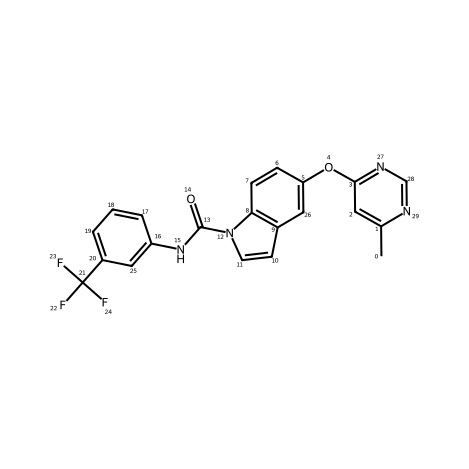 Cc1cc(Oc2ccc3c(ccn3C(=O)Nc3cccc(C(F)(F)F)c3)c2)ncn1